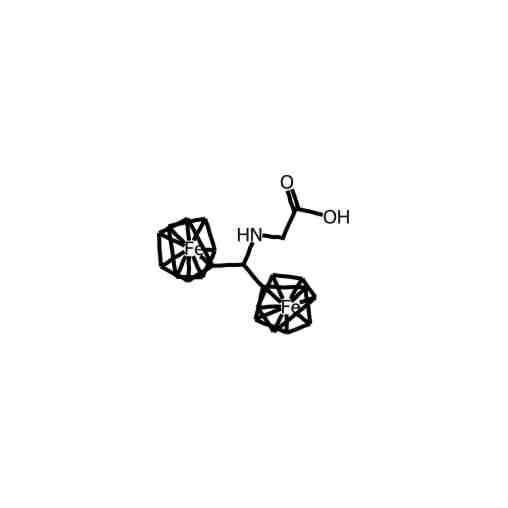 O=C(O)CNC([C]12[CH]3[CH]4[CH]5[CH]1[Fe]45321678[CH]2[CH]1[CH]6[CH]7[CH]28)[C]12[CH]3[CH]4[CH]5[CH]1[Fe]45321678[CH]2[CH]1[CH]6[CH]7[CH]28